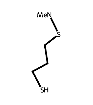 CNSCCCS